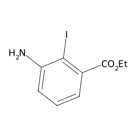 CCOC(=O)c1cccc(N)c1I